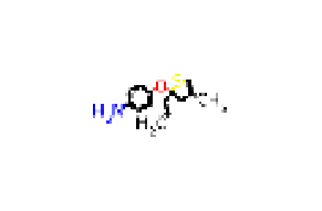 C=CCC1(Oc2ccc(N)cc2)CC(C)=CS1